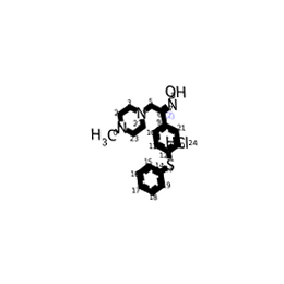 CN1CCN(C/C(=N\O)c2ccc(Sc3ccccc3)cc2)CC1.Cl